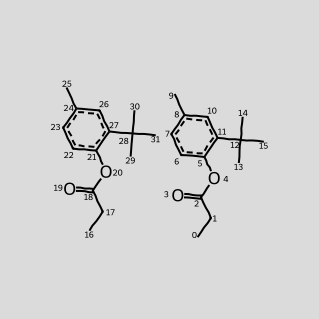 CCC(=O)Oc1ccc(C)cc1C(C)(C)C.CCC(=O)Oc1ccc(C)cc1C(C)(C)C